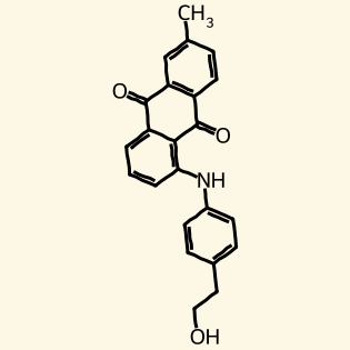 Cc1ccc2c(c1)C(=O)c1cccc(Nc3ccc(CCO)cc3)c1C2=O